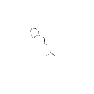 C/C(=C\CO)CCCc1ccoc1